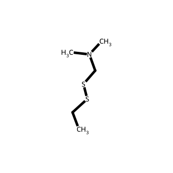 CCSSCN(C)C